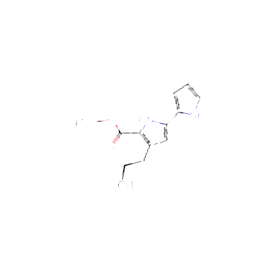 CCCc1cc(-c2ccc[nH]2)[nH]c1C(=O)OC